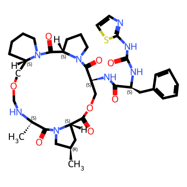 C[C@@H]1C[C@H]2C(=O)OC[C@H](NC(=O)[C@H](Cc3ccccc3)NC(=O)Nc3nccs3)C(=O)N3CCC[C@H]3C(=O)N3CCCC[C@H]3COCN[C@@H](C)C(=O)N2C1